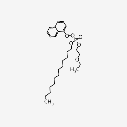 CCCCCCCCCCCCCOP(=O)(OCCOCC)OOc1cccc2ccccc12